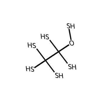 SOC(S)(S)C(S)(S)S